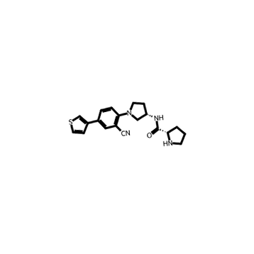 N#Cc1cc(-c2ccsc2)ccc1N1CC[C@H](NC(=O)[C@@H]2CCCN2)C1